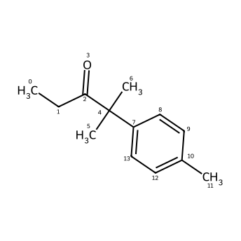 CCC(=O)C(C)(C)c1ccc(C)cc1